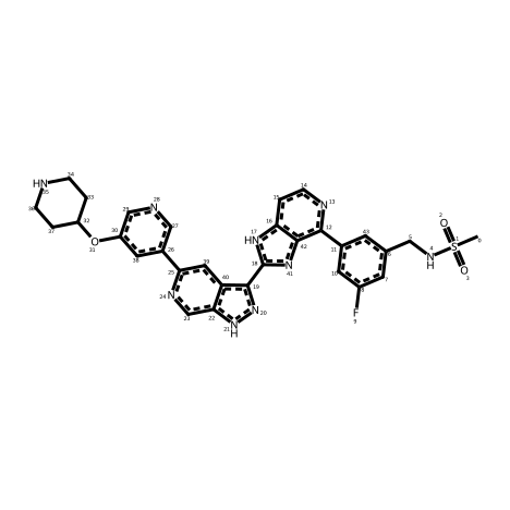 CS(=O)(=O)NCc1cc(F)cc(-c2nccc3[nH]c(-c4n[nH]c5cnc(-c6cncc(OC7CCNCC7)c6)cc45)nc23)c1